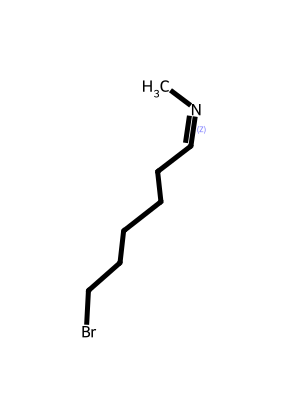 C/N=C\CCCCCBr